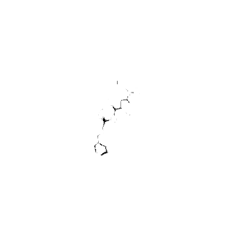 CCN(CC)C(=O)C[C@H](N)C(=O)OC(=O)OCc1ccccc1